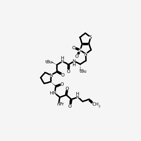 C=CCNC(=O)C(=O)C(CCC)NC(=O)[C@@H]1CCCN1C(=O)[C@@H](NC(=O)N[C@H](CN1CC2=C(CCS2)S1(=O)=O)C(C)(C)C)C(C)(C)C